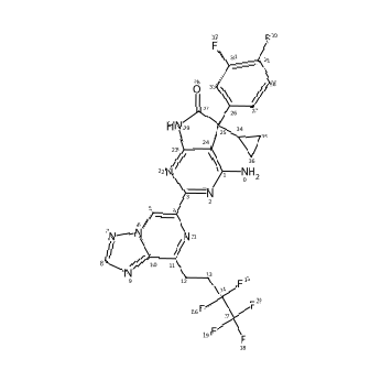 Nc1nc(-c2cn3ncnc3c(CCC(F)(F)C(F)(F)F)n2)nc2c1C(c1ccc(F)c(F)c1)(C1CC1)C(=O)N2